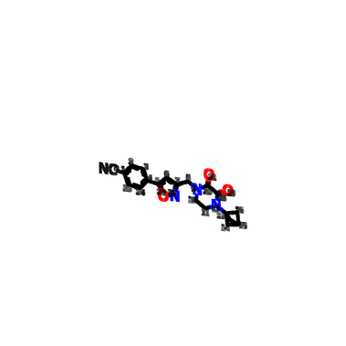 N#Cc1ccc(-c2cc(CN3CCN(C45CC(C4)C5)C(=O)C3=O)no2)cc1